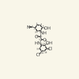 N#Cc1ccc(O)c(NC(=O)C(=O)Nc2cc(Cl)cc(Cl)c2O)c1